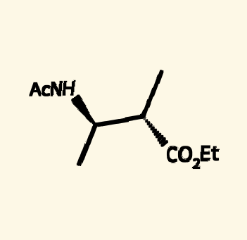 CCOC(=O)[C@@H](C)[C@@H](C)NC(C)=O